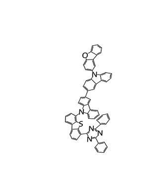 c1ccc(-c2nc(-c3ccccc3)nc(-c3cccc4c3sc3c(-n5c6ccccc6c6cc(-c7ccc8c(c7)c7ccccc7n8-c7ccc8oc9ccccc9c8c7)ccc65)cccc34)n2)cc1